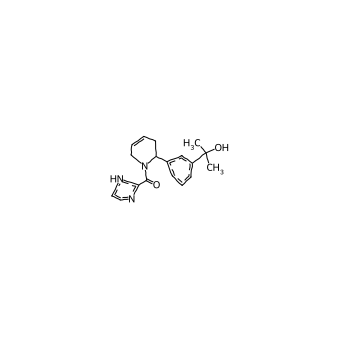 CC(C)(O)c1cccc(C2CC=CCN2C(=O)c2ncc[nH]2)c1